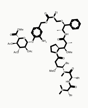 CC[C@H](C)[C@@H]([C@@H](CC(=O)N1CCC[C@H]1[C@H](OC)[C@@H](C)C(=O)N[C@H](C)[C@@H](OCN(CC)C(=O)OCc1ccc(O[C@H]2O[C@@H](C(=O)OC)[C@H](OC(C)=O)[C@@H](OC(C)=O)[C@@H]2OC(C)=O)c(N)c1)c1ccccc1)OC)N(C)C(=O)[C@@H](NC(=O)[C@H](C(C)C)N(C)C)C(C)C